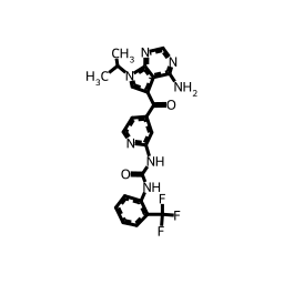 CC(C)n1cc(C(=O)c2ccnc(NC(=O)Nc3ccccc3C(F)(F)F)c2)c2c(N)ncnc21